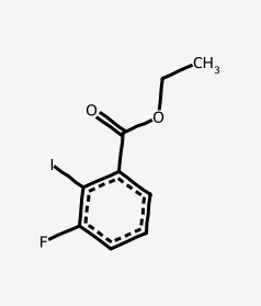 CCOC(=O)c1cccc(F)c1I